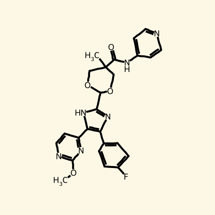 COc1nccc(-c2[nH]c(C3OCC(C)(C(=O)Nc4ccncc4)CO3)nc2-c2ccc(F)cc2)n1